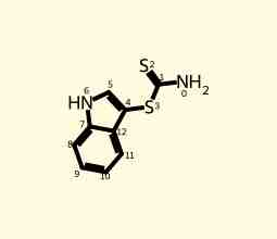 NC(=S)Sc1c[nH]c2ccccc12